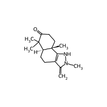 C=C1C2=C(NN1C)[C@@]1(C)CCC(=O)C(C)(C)[C@@H]1CC2